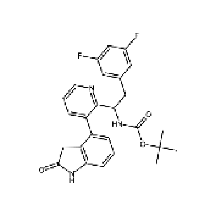 CC(C)(C)OC(=O)NC(Cc1cc(F)cc(F)c1)c1ncccc1-c1cccc2c1CC(=O)N2